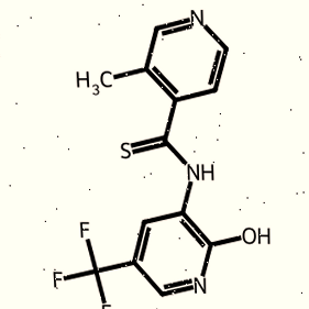 Cc1cnccc1C(=S)Nc1cc(C(F)(F)F)cnc1O